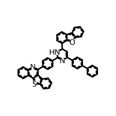 C1=C(c2ccc(-c3ccccc3)cc2)N=C(c2ccc(-c3nc4ccccc4c4sc5ccccc5c34)cc2)NC1c1cccc2c1oc1ccccc12